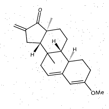 C=C1C[C@H]2C3(C)CC=C4C=C(OC)CC[C@@H]4[C@H]3CC[C@]2(C)C1=O